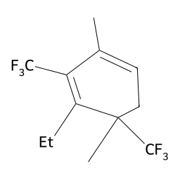 CCC1=C(C(F)(F)F)C(C)=CCC1(C)C(F)(F)F